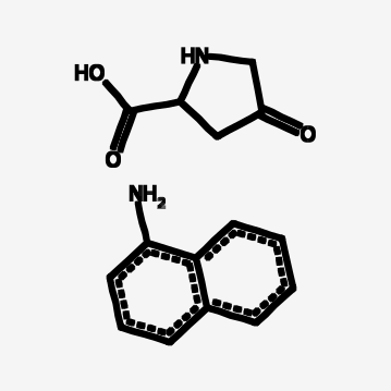 Nc1cccc2ccccc12.O=C1CNC(C(=O)O)C1